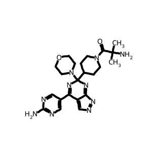 CC(C)(N)C(=O)N1CCC(C2(N3CCOCC3)N=C3N=NC=C3C(c3cnc(N)nc3)=N2)CC1